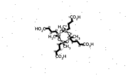 C[Si]1(CCCC(=O)O)O[Si](C)(CCCC(=O)O)O[Si](C)(CCCC(=O)O)O[Si](C)(CCCC(=O)O)O1